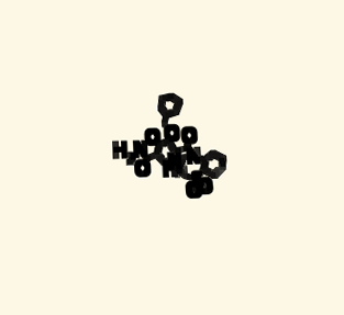 NC(=O)c1cn2c(c(OCc3ccccc3)c1=O)C(=O)N1C[C@@H]2CS(=O)(=O)c2ccccc21